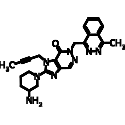 CC#CCn1c(N2CCCC(N)C2)nc2cnn(Cc3nnc(C)c4ccccc34)c(=O)c21